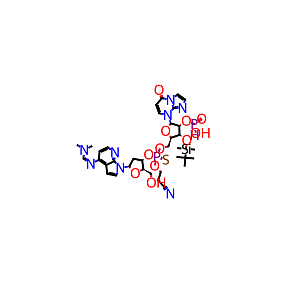 CN(C)/C=N\c1ccnc2c1ccn2[C@H]1C[C@H](OP(=S)(OCCC#N)OC[C@H]2O[C@@H](n3ccc(=O)n4ccnc34)[C@H](O[PH](=O)O)[C@@H]2O[Si](C)(C)C(C)(C)C)[C@@H](CO)O1